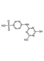 O=S(=O)(O)c1ccc(Nc2nc(O)nc(S)n2)cc1